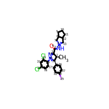 C[C@@H]1C(C(=O)NN2CC3CCCC3C2)=NN(c2ccc(Cl)cc2Cl)[C@@H]1c1ccc(I)cc1